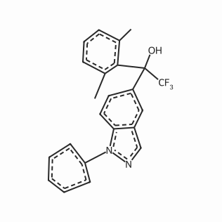 Cc1cccc(C)c1C(O)(c1ccc2c(cnn2-c2ccccc2)c1)C(F)(F)F